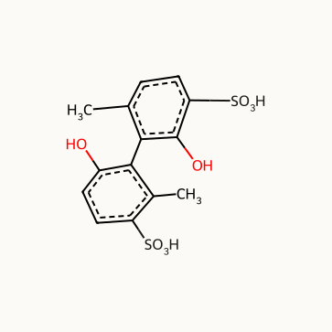 Cc1ccc(S(=O)(=O)O)c(O)c1-c1c(O)ccc(S(=O)(=O)O)c1C